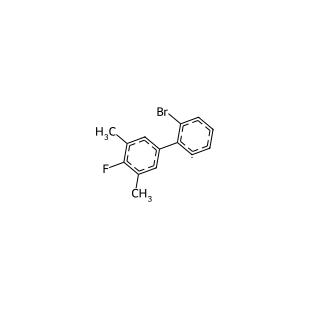 Cc1cc(-c2[c]cccc2Br)cc(C)c1F